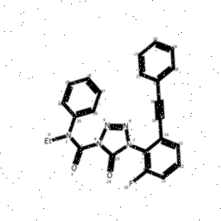 CCN(C(=O)n1nnn(-c2c(F)cccc2C#Cc2ccccc2)c1=O)c1ccccc1